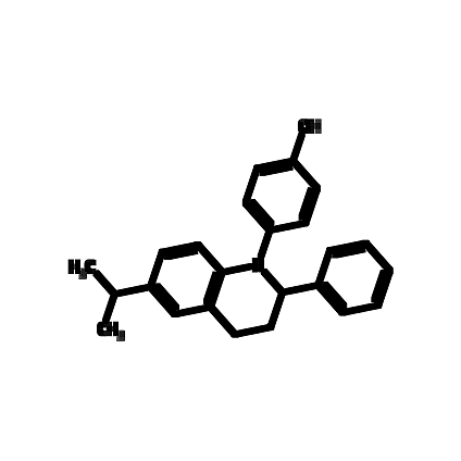 CC(C)c1ccc2c(c1)CCC(c1ccccc1)N2c1ccc(O)cc1